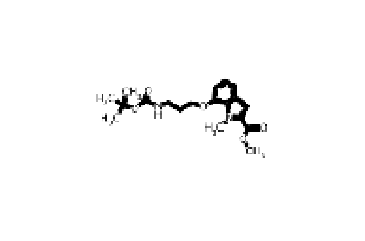 COC(=O)c1cc2cccc(OCCCNC(=O)OC(C)(C)C)c2n1C